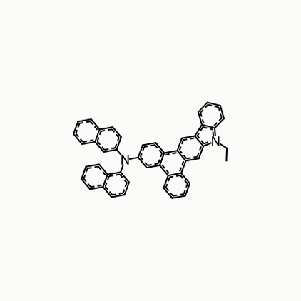 CCn1c2ccccc2c2cc3c4ccc(N(c5ccc6ccccc6c5)c5cccc6ccccc56)cc4c4ccccc4c3cc21